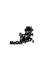 CO[C@H]1CCN(CCOc2c([C@H]3[C@H](C(=O)Nc4ccnc(C(N)=O)c4)O[C@@](C)(C(F)(F)F)[C@H]3C)ccc(F)c2F)C1